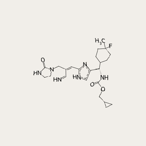 CC1(F)CCC([C@H](NC(=O)OCC2CC2)c2c[nH]c(/C=C(\C=N)CN3CCNC3=O)n2)CC1